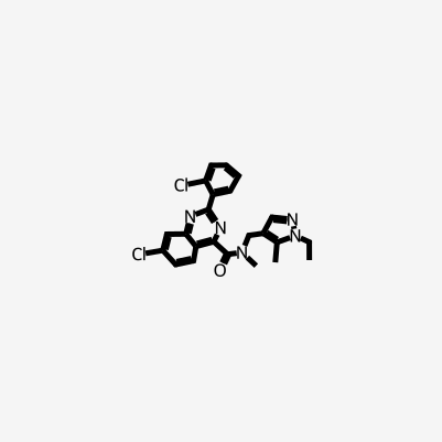 CCn1ncc(CN(C)C(=O)c2nc(-c3ccccc3Cl)nc3cc(Cl)ccc23)c1C